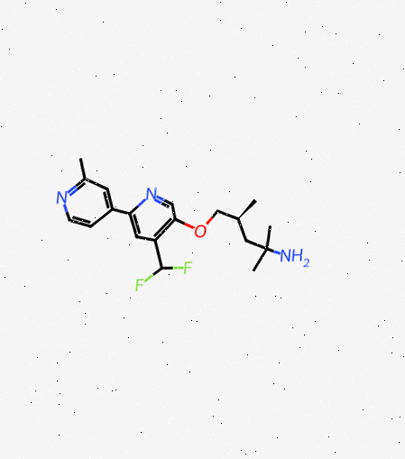 Cc1cc(-c2cc(C(F)F)c(OC[C@@H](C)CC(C)(C)N)cn2)ccn1